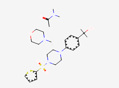 CN(C)C(=O)C[C@H]1COCCN1C[C@H]1CN(S(=O)(=O)c2cccs2)CCN1c1ccc(C(C)(C)O)cc1